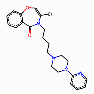 CCC1=COc2ccccc2C(=O)N1CCCCN1CCN(c2ccccn2)CC1